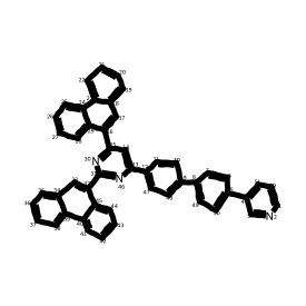 c1cncc(-c2ccc(-c3ccc(-c4cc(-c5cc6ccccc6c6ccccc56)nc(-c5cc6ccccc6c6ccccc56)n4)cc3)cc2)c1